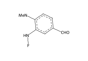 CNc1ccc(C=O)cc1NF